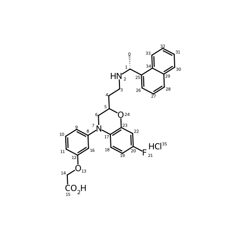 C[C@@H](NCCC1CN(c2cccc(OCC(=O)O)c2)c2ccc(F)cc2O1)c1cccc2ccccc12.Cl